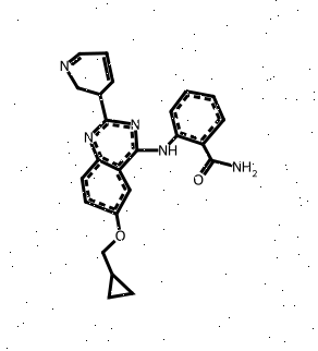 NC(=O)c1ccccc1Nc1nc(C2C=CC=NC2)nc2ccc(OCC3CC3)cc12